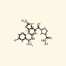 CCNC(=O)C1CCN(C(=O)c2nc(N[C@@H](C)c3cncc(F)c3)nc3nc(C)sc23)C1